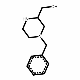 OCC1CN(Cc2ccccc2)CCN1